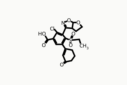 CCS(=O)(=O)c1c(C2=CC(=O)CCC2)cc(C(=O)O)c(Cl)c1C1=NOC2OCCC12